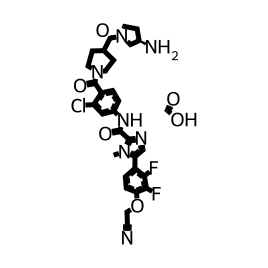 Cn1c(-c2ccc(OCC#N)c(F)c2F)cnc1C(=O)Nc1ccc(C(=O)N2CCC(C(=O)N3CC[C@@H](N)C3)CC2)c(Cl)c1.O=CO